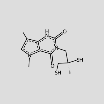 Cc1cn(C)c2c(=O)n(C[C@@](C)(S)CS)c(=O)[nH]c12